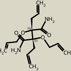 C=CCO[C@](CC=C)(C(N)=O)[C@](CC=C)(OCC=C)C(N)=O